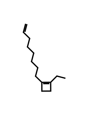 C=CCCCCCCC1=C(CC)CC1